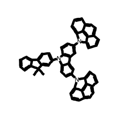 CC1(C)c2ccccc2-c2ccc(-n3c4ccc(-n5c6cccc7ccc8cccc5c8c76)cc4c4cc(-n5c6cccc7ccc8cccc5c8c76)ccc43)cc21